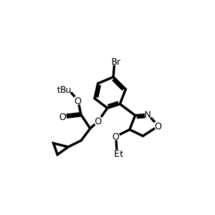 CCOC1CON=C1c1cc(Br)ccc1OC(CC1CC1)C(=O)OC(C)(C)C